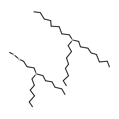 CCCCCCCCN(CCCCCCCC)CCCCCCCC.CCCCCCN(CCCCCC)CCCCCC